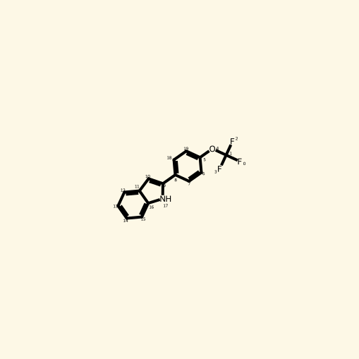 FC(F)(F)Oc1ccc(-c2cc3ccccc3[nH]2)cc1